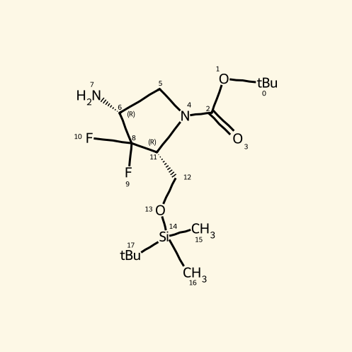 CC(C)(C)OC(=O)N1C[C@@H](N)C(F)(F)[C@H]1CO[Si](C)(C)C(C)(C)C